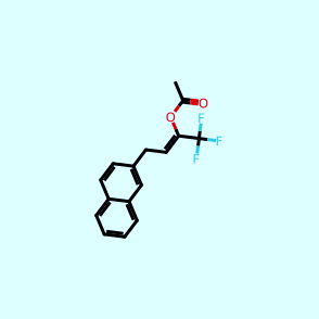 CC(=O)OC(=CCc1ccc2ccccc2c1)C(F)(F)F